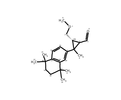 COC[C@@H]1C(C=O)C1(C)c1ccc2c(c1)C(C)(C)CCC2(C)C